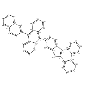 c1ccc2cc(-c3c4ccccc4c(-c4ccc5c(c4)sc4c6ccccc6c6ccccc6c54)c4ccccc34)ccc2c1